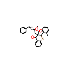 COC(=O)C1(CC=C=Cc2ccccc2)C(=O)c2ccccc2SC1c1ccccc1C